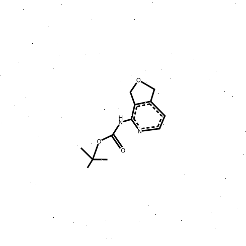 CC(C)(C)OC(=O)Nc1nccc2c1COC2